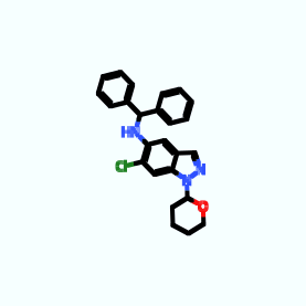 Clc1cc2c(cnn2C2CCCCO2)cc1NC(c1ccccc1)c1ccccc1